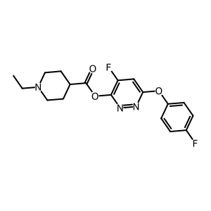 CCN1CCC(C(=O)Oc2nnc(Oc3ccc(F)cc3)cc2F)CC1